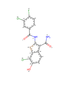 NC(=O)c1c(NC(=O)c2ccc(F)c(Cl)c2)sc2c(Cl)c(O)ccc12